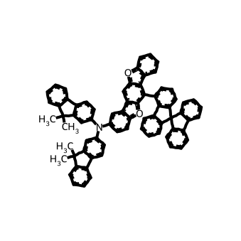 CC1(C)c2ccccc2-c2ccc(N(c3ccc4c(c3)C(C)(C)c3ccccc3-4)c3ccc4oc5c(-c6cccc7c6-c6ccccc6C76c7ccccc7-c7ccccc76)c6c(cc5c4c3)oc3ccccc36)cc21